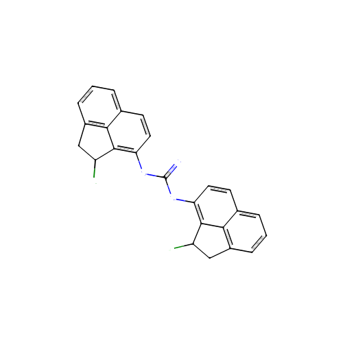 N=C(Nc1ccc2cccc3c2c1C(Br)C3)Nc1ccc2cccc3c2c1C(Br)C3